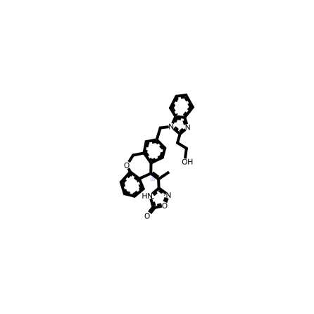 C/C(=C1\c2ccc(Cn3c(CCO)nc4ccccc43)cc2COc2ccccc21)c1noc(=O)[nH]1